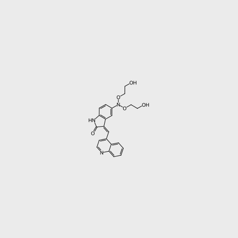 O=C1Nc2ccc(N(OCCO)OCCO)cc2C1=Cc1ccnc2ccccc12